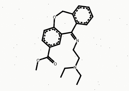 CCN(CC)CC/N=C1/c2ccccc2COc2ccc(C(=O)OC)cc21